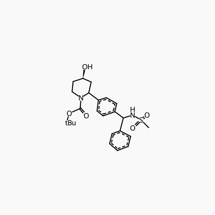 CC(C)(C)OC(=O)N1CC[C@@H](O)CC1c1ccc(C(NS(C)(=O)=O)c2ccccc2)cc1